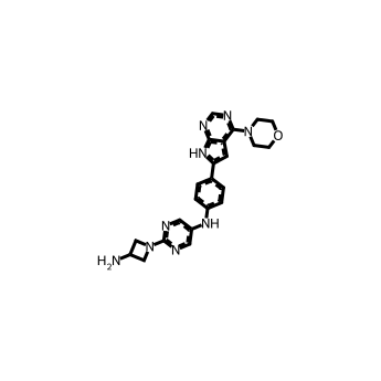 NC1CN(c2ncc(Nc3ccc(-c4cc5c(N6CCOCC6)ncnc5[nH]4)cc3)cn2)C1